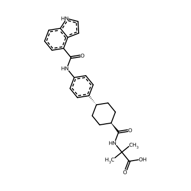 CC(C)(NC(=O)[C@H]1CC[C@H](c2ccc(NC(=O)c3cccc4[nH]ccc34)cc2)CC1)C(=O)O